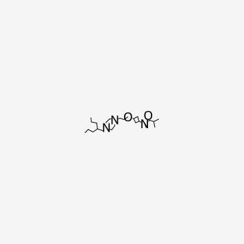 CCCC(CCC)CN1CCN(CCO[C@H]2C[C@H](N(C)C(=O)C(C)C)C2)CC1